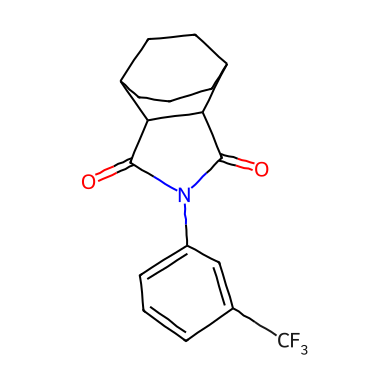 O=C1C2C3CCCC(CC3)C2C(=O)N1c1cccc(C(F)(F)F)c1